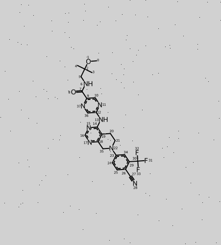 COC(C)(C)CNC(=O)c1cnc(Nc2ncnc3c2CCN(c2ccc(C#N)c(C(F)(F)F)c2)C3)cn1